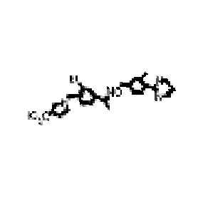 CCc1cc(C(C)=NOCc2ccc(-c3ncccn3)c(C)c2)ccc1CN1CCC(C(=O)O)C1